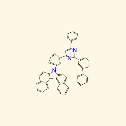 c1ccc(-c2cccc(-c3nc(-c4ccccc4)cc(-c4cccc(-n5c6ccc7ccccc7c6c6c7ccccc7ccc65)c4)n3)c2)cc1